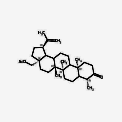 C=C(C)[C@@H]1CC[C@]2(COC(C)=O)CC[C@]3(C)C(CCC4[C@@]5(C)CCC(=O)[C@H](C)C5CC[C@]43C)C12